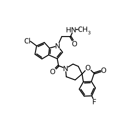 CNC(=O)Cn1cc(C(=O)N2CCC3(CC2)OC(=O)c2cc(F)ccc23)c2ccc(Cl)cc21